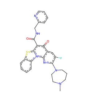 CN1CCCN(c2nc3c(cc2F)c(=O)c(C(=O)NCc2ccccn2)c2sc4ccccc4n23)CC1